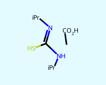 CC(=O)O.CC(C)N=C(S)NC(C)C